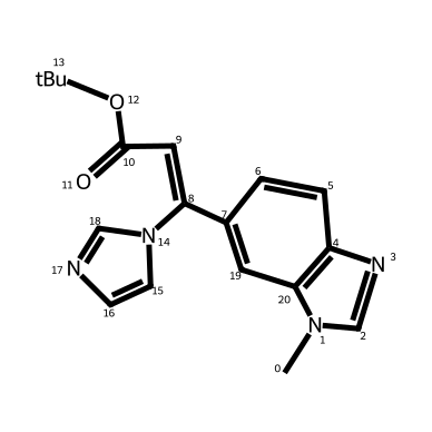 Cn1cnc2ccc(/C(=C/C(=O)OC(C)(C)C)n3ccnc3)cc21